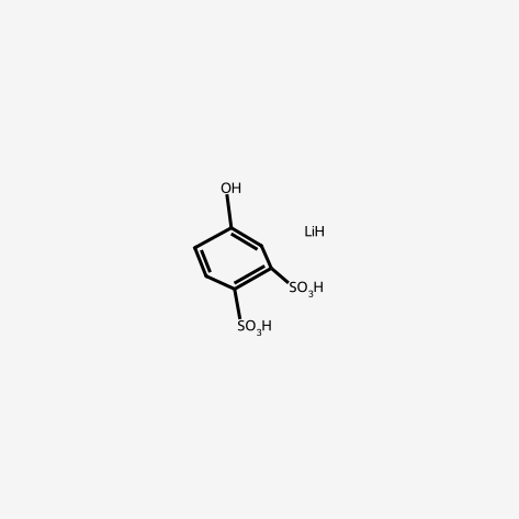 O=S(=O)(O)c1ccc(O)cc1S(=O)(=O)O.[LiH]